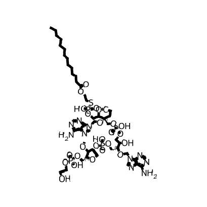 CCCCCCCCCCCCCC(=O)OCCSP(=O)(O)OCC1OCCC[C@]1(COP(=O)(O)OCC(O)[C@@H](COP(=O)(O)OC1CO[C@H](COP(=O)(O)OCCO)C1OC)OCn1cnc2c(N)ncnc21)OCn1cnc2c(N)ncnc21